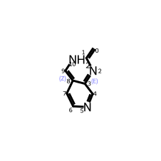 C=C/N=C1/C=NC=C/C1=C/N